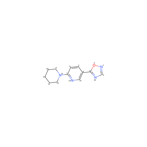 c1noc(-c2ccc(N3CCCCC3)nc2)n1